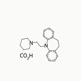 O=C(O)[C@@H]1CCCN(CCN2c3ccccc3CCc3ccccc32)C1